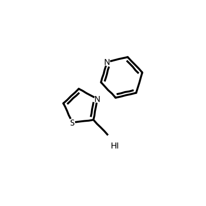 Cc1nccs1.I.c1ccncc1